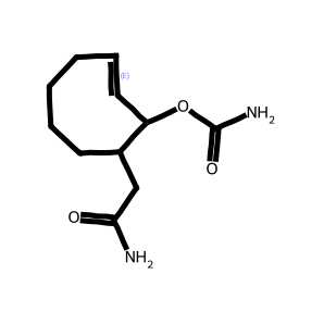 NC(=O)CC1CCCC/C=C/C1OC(N)=O